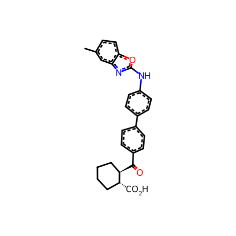 Cc1ccc2oc(Nc3ccc(-c4ccc(C(=O)[C@@H]5CCCC[C@H]5C(=O)O)cc4)cc3)nc2c1